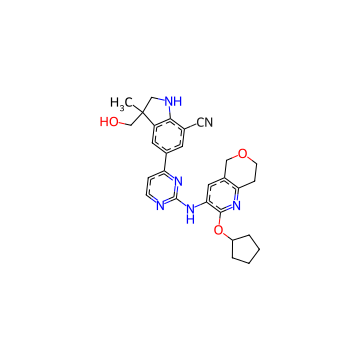 CC1(CO)CNc2c(C#N)cc(-c3ccnc(Nc4cc5c(nc4OC4CCCC4)CCOC5)n3)cc21